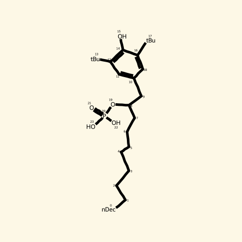 CCCCCCCCCCCCCCCCCC(Cc1cc(C(C)(C)C)c(O)c(C(C)(C)C)c1)OP(=O)(O)O